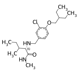 CCC(CC)COc1ccc(CN[C@H](C(=O)NC)C(C)CC)cc1Cl